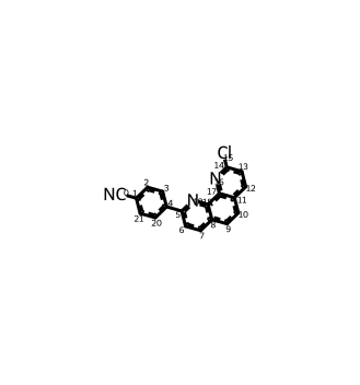 N#Cc1ccc(-c2ccc3ccc4ccc(Cl)nc4c3n2)cc1